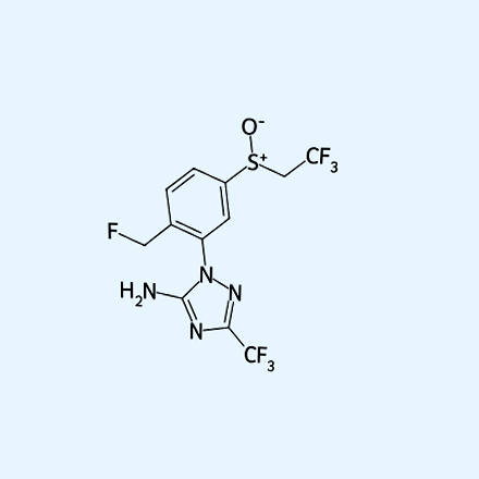 Nc1nc(C(F)(F)F)nn1-c1cc([S+]([O-])CC(F)(F)F)ccc1CF